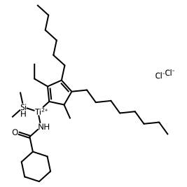 CCCCCCCCC1=C(CCCCCC)C(CC)=[C]([Ti+2]([NH]C(=O)C2CCCCC2)[SiH](C)C)C1C.[Cl-].[Cl-]